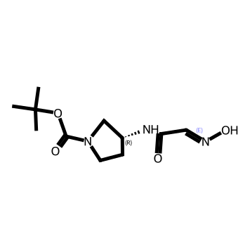 CC(C)(C)OC(=O)N1CC[C@@H](NC(=O)/C=N/O)C1